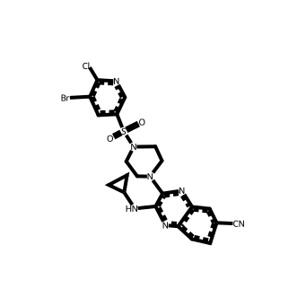 N#Cc1ccc2nc(NC3CC3)c(N3CCN(S(=O)(=O)c4cnc(Cl)c(Br)c4)CC3)nc2c1